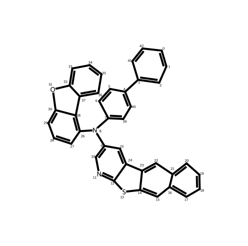 c1ccc(-c2ccc(N(c3cnc4sc5cc6ccccc6cc5c4c3)c3cccc4oc5ccccc5c34)cc2)cc1